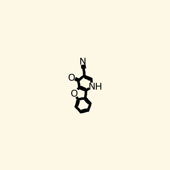 N#Cc1c[nH]c2c(oc3ccccc32)c1=O